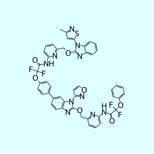 Cc1cc(-n2c(OCc3cccc(NC(=O)C(F)(F)Oc4ccc(-c5ccc6nc(OCc7cccc(NC(=O)C(F)(F)Oc8ccccc8)n7)n(-c7ccon7)c6c5)cc4)n3)nc3ccccc32)sn1